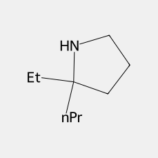 CCCC1(CC)CCCN1